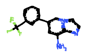 Nc1cc(-c2cccc(C(F)(F)F)c2)cn2ccnc12